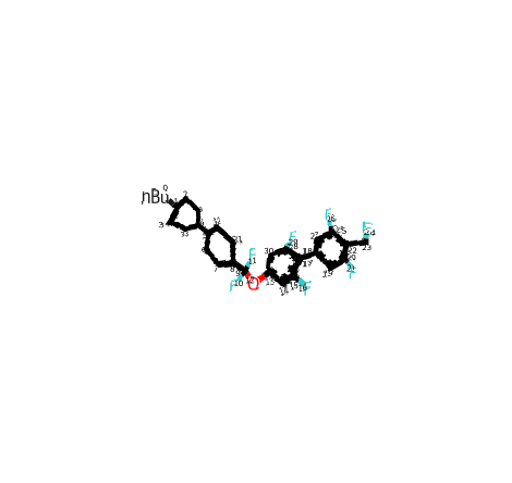 CCCCC1CCC(C2CCC(C(F)(F)Oc3cc(F)c(-c4cc(F)c(CF)c(F)c4)c(F)c3)CC2)CC1